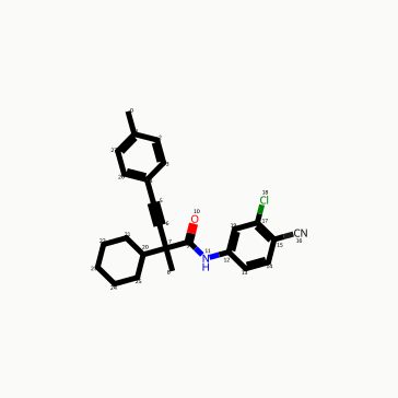 Cc1ccc(C#CC(C)(C(=O)Nc2ccc(C#N)c(Cl)c2)C2CCCCC2)cc1